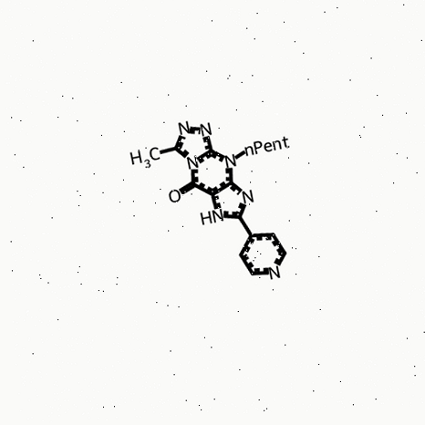 CCCCCn1c2nc(-c3ccncc3)[nH]c2c(=O)n2c(C)nnc12